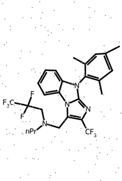 CCCN(Cc1c(C(F)(F)F)nc2n(-c3c(C)cc(C)cc3C)c3ccccc3n12)CC(F)(F)C(F)(F)F